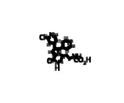 O=C(O)NCCC1CNC(=O)c2cc(-c3ccnc(Cl)c3)c(-c3ccncc3)n21